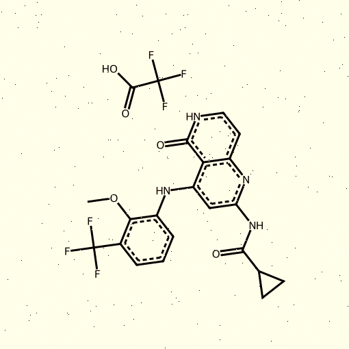 COc1c(Nc2cc(NC(=O)C3CC3)nc3cc[nH]c(=O)c23)cccc1C(F)(F)F.O=C(O)C(F)(F)F